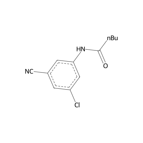 CCCCC(=O)Nc1cc(Cl)cc(C#N)c1